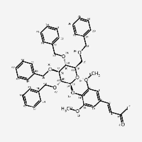 COc1cc(C=CC(=O)I)cc(OC)c1O[C@@H]1O[C@H](COCc2ccccc2)[C@@H](OCc2ccccc2)[C@H](OCc2ccccc2)[C@H]1OCc1ccccc1